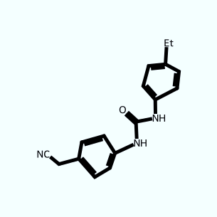 CCc1ccc(NC(=O)Nc2ccc(CC#N)cc2)cc1